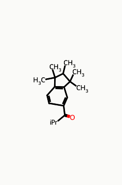 CC(C)C(=O)c1ccc2c(c1)C(C)(C)C(C)C2(C)C